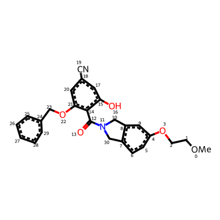 COCCOc1ccc2c(c1)CN(C(=O)c1c(O)cc(C#N)cc1OCc1ccccc1)C2